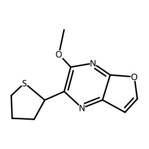 COc1nc2occc2nc1C1CCCS1